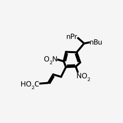 CCCCC(CCC)c1cc([N+](=O)[O-])c(C/C=C/C(=O)O)c([N+](=O)[O-])c1